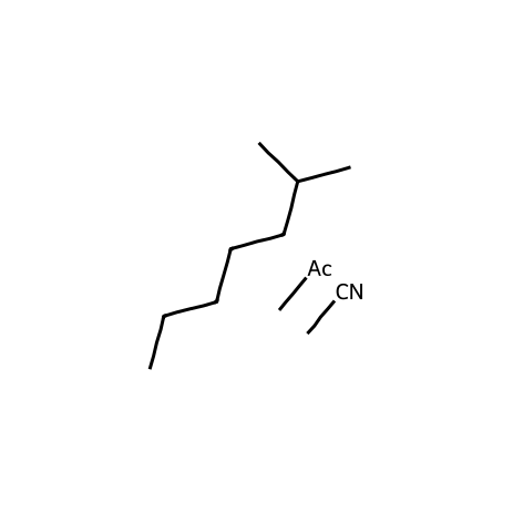 CC#N.CC(C)=O.CCCCCC(C)C